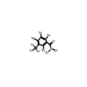 [2H]c1c([2H])c(C(=O)N(CC)CC)c([2H])c(C([2H])([2H])[2H])c1[2H]